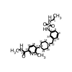 CCNS(=O)(=O)Nc1cccc(CN2CCN(c3ccc(C(=O)NC)nc3C)CC2)c1